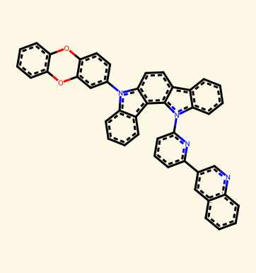 c1cc(-c2cnc3ccccc3c2)nc(-n2c3ccccc3c3ccc4c(c5ccccc5n4-c4ccc5c(c4)Oc4ccccc4O5)c32)c1